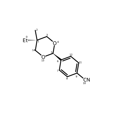 CC[C@]1(C)CO[C@@H](c2ccc(C#N)cc2)OC1